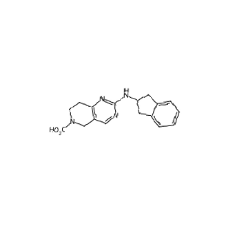 O=C(O)N1CCc2nc(NC3Cc4ccccc4C3)ncc2C1